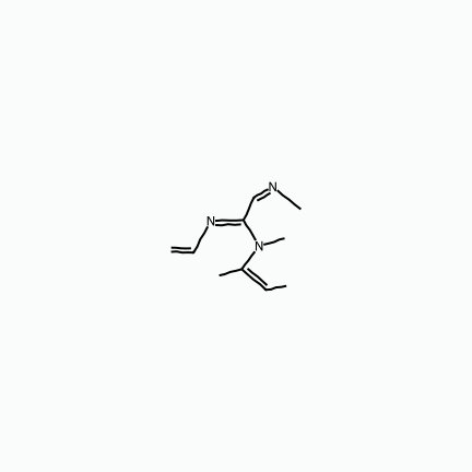 C=C/N=C(/C=N\C)N(C)/C(C)=C\C